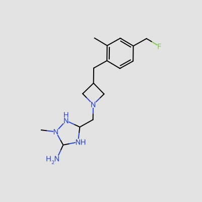 Cc1cc(CF)ccc1CC1CN(CC2NC(N)N(C)N2)C1